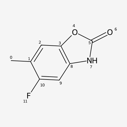 Cc1cc2oc(=O)[nH]c2cc1F